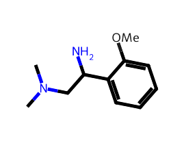 COc1ccccc1C(N)CN(C)C